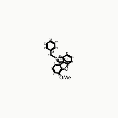 COc1cccc2c1OC1C3C=CC4(CC3)CN(Cc3ccccc3)CCC214